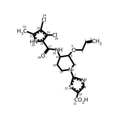 C=CCOC1CN(c2ncc(C(=O)O)s2)CCC1NC(=O)c1[nH]c(C)c(Cl)c1Cl